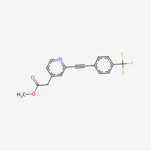 COC(=O)Cc1ccnc(C#Cc2ccc(C(F)(F)F)cc2)c1